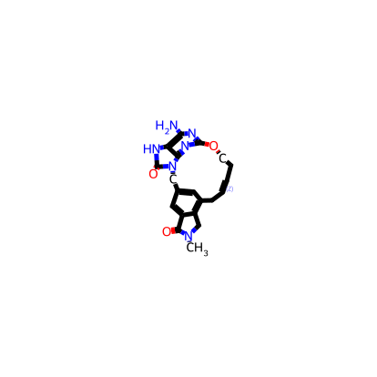 CN1Cc2c3cc(cc2C1=O)Cn1c(=O)[nH]c2c(N)nc(nc21)OCC/C=C\C3